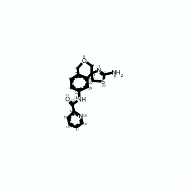 NC1=NC2(COCc3ccc(NC(=O)c4ccccn4)cc32)CS1